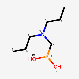 CCCN(CCC)CP(O)O